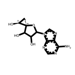 Nc1ncnc2c1ncn2C1O[C@@]2(C[C@@H]2O)C(O)C1O